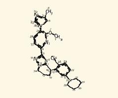 COc1nc(-c2nc3n(n2)CCC[C@@H]3c2cc(N3CCCCC3)ccc2Cl)ccc1-n1cnc(C)c1